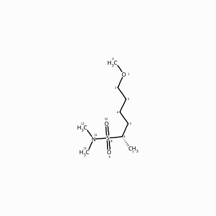 COCCCC[C@H](C)S(=O)(=O)N(C)C